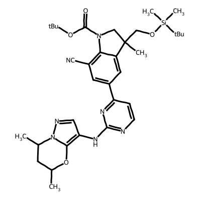 CC1CC(C)n2ncc(Nc3nccc(-c4cc(C#N)c5c(c4)C(C)(CO[Si](C)(C)C(C)(C)C)CN5C(=O)OC(C)(C)C)n3)c2O1